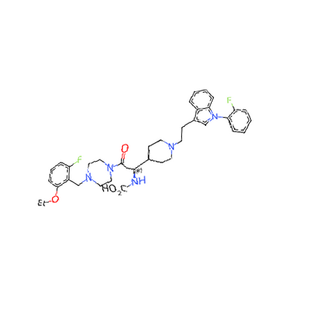 CCOc1cccc(F)c1CN1CCN(C(=O)[C@H](NC(=O)O)C2CCN(CCc3cn(-c4ccccc4F)c4ccccc34)CC2)CC1